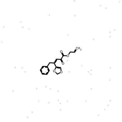 C=CCOC(=O)C(=O)C=C(Cc1ccccc1)C1=COCO1